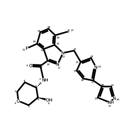 O=C(N[C@H]1CCOC[C@@H]1O)c1nn(Cc2ccc(-c3cn[nH]c3)nc2)c2c(F)ccc(F)c12